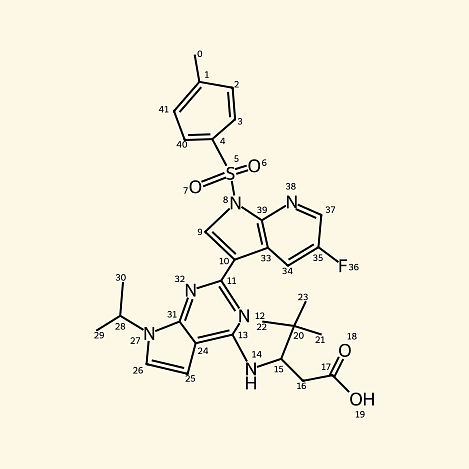 Cc1ccc(S(=O)(=O)n2cc(-c3nc(NC(CC(=O)O)C(C)(C)C)c4ccn(C(C)C)c4n3)c3cc(F)cnc32)cc1